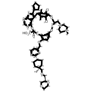 Cc1c(Cl)c2c(Cl)c(C)c1-c1c(C3=CCCC3)sc3ncnc(c13)O[C@@H](C(=O)O)Cc1cc(ccc1OCc1ccnc([C@H]3CC[C@](F)(COC[C@@H]4COCCO4)CC3)n1)OCC(CN1CCN(C)CC1)O2